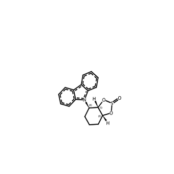 O=S1O[C@H]2[C@H](n3c4ccccc4c4ccccc43)CCC[C@H]2O1